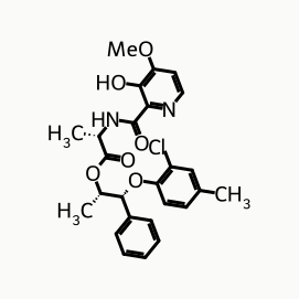 COc1ccnc(C(=O)N[C@@H](C)C(=O)O[C@@H](C)[C@H](Oc2ccc(C)cc2Cl)c2ccccc2)c1O